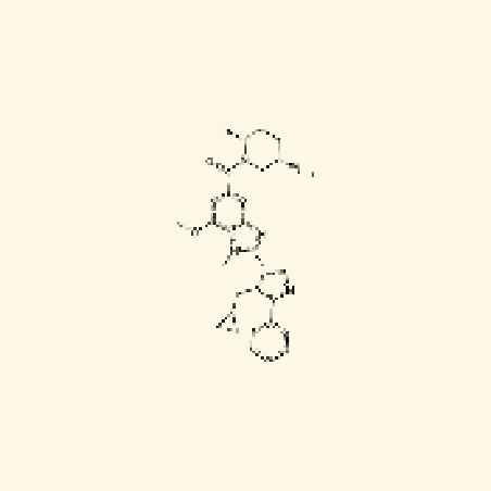 COc1cc(C(=O)N2C[C@H](N)CC[C@@H]2C)cc2nc(-c3cnc(-c4ccccc4)n3CC3CC3)n(C)c12